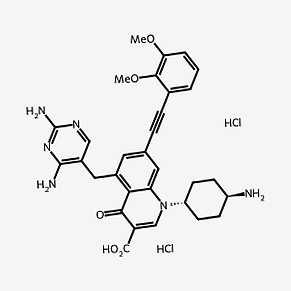 COc1cccc(C#Cc2cc(Cc3cnc(N)nc3N)c3c(=O)c(C(=O)O)cn([C@H]4CC[C@H](N)CC4)c3c2)c1OC.Cl.Cl